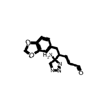 NC1(C(CCC=O)Cc2ccc3c(c2)OCO3)C=NN=N1